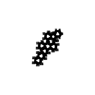 CC1(C)c2ccccc2-c2cccc(N(c3cccc(-c4ccc5ccccc5c4)c3)c3ccccc3-c3ccccc3)c21